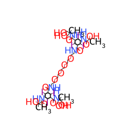 CC(O)C(=O)Nc1c(I)c(C(=O)NCCOCCOCCOCCOCCNC(=O)c2c(I)c(NC(=O)C(C)O)c(I)c(C(=O)NC(C)(CO)CO)c2I)c(I)c(C(=O)NC(C)(CO)CO)c1I